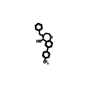 OC1c2cc(-c3ccc(C(F)(F)F)cc3)ccc2OCCN1Cc1ccccc1